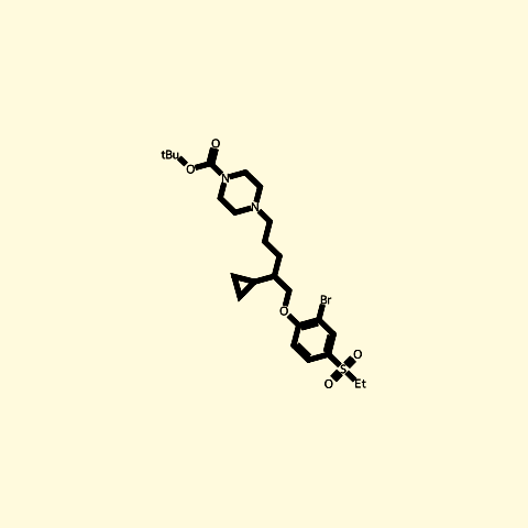 CCS(=O)(=O)c1ccc(OCC(CCCN2CCN(C(=O)OC(C)(C)C)CC2)C2CC2)c(Br)c1